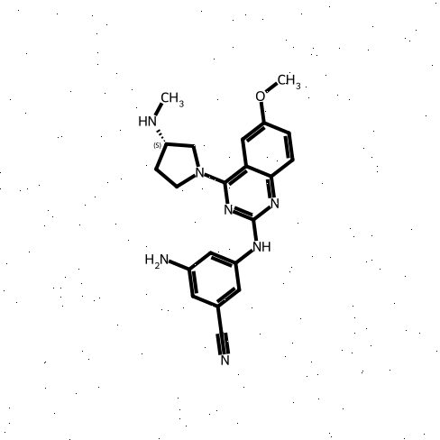 CN[C@H]1CCN(c2nc(Nc3cc(N)cc(C#N)c3)nc3ccc(OC)cc23)C1